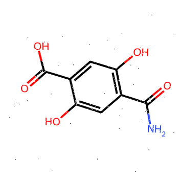 NC(=O)c1cc(O)c(C(=O)O)cc1O